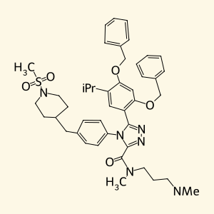 CNCCCN(C)C(=O)c1nnc(-c2cc(C(C)C)c(OCc3ccccc3)cc2OCc2ccccc2)n1-c1ccc(CC2CCN(S(C)(=O)=O)CC2)cc1